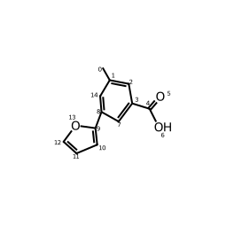 Cc1cc(C(=O)O)cc(-c2ccco2)c1